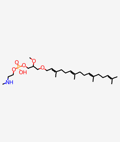 CNCCOP(=O)(O)OCC(COC/C=C(\C)CC/C=C(\C)CC/C=C(\C)CCC=C(C)C)OC